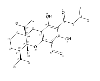 CC(C)CC(=O)c1c(O)c(C=O)c2c(c1O)C[C@@]1(C(C)C)CCC[C@H](C(C)C)[C@H]1O2